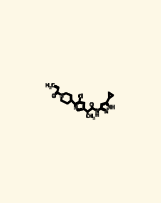 C=CC(=O)N1CC=C(c2ncc(C(C)C(=O)Nc3cc(C4CC4)[nH]n3)cc2Cl)CC1